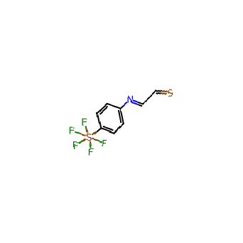 FS(F)(F)(F)(F)c1ccc(N=CC=S)cc1